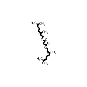 CC(C)=CCC/C(C)=C/COC(=O)CC(=O)OC/C=C(\C)CCC=C(C)C